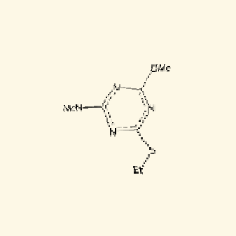 CCSc1nc(NC)nc(OC)n1